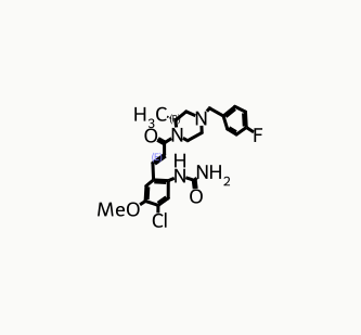 COc1cc(/C=C/C(=O)N2CCN(Cc3ccc(F)cc3)C[C@H]2C)c(NC(N)=O)cc1Cl